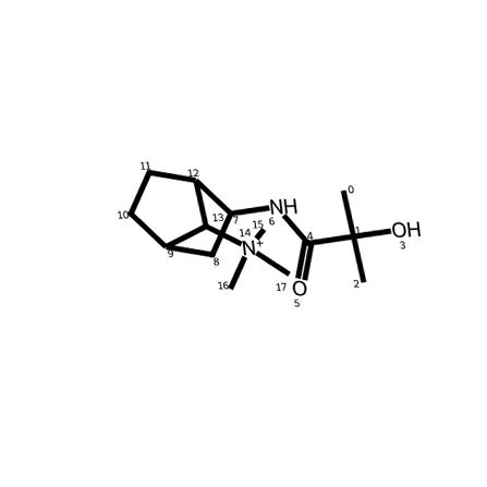 CC(C)(O)C(=O)NC1CC2CCC1C2[N+](C)(C)C